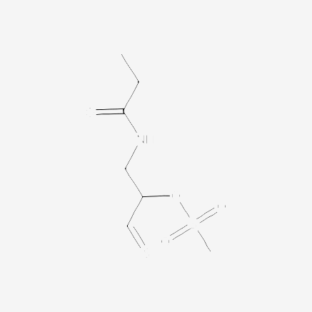 CCC(=O)NCC([C]=S)OS(C)(=O)=O